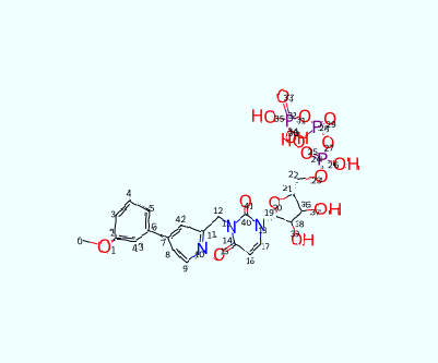 COc1cccc(-c2ccnc(Cn3c(=O)ccn([C@@H]4O[C@H](COP(=O)(O)OP(=O)(O)OP(=O)(O)O)C(O)C4O)c3=O)c2)c1